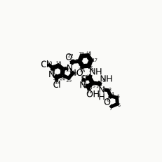 N=C(NCC1CCCO1)c1c(O)nsc1Nc1cccc(C(=O)N2CCc3c2cc(Cl)nc3Cl)c1O